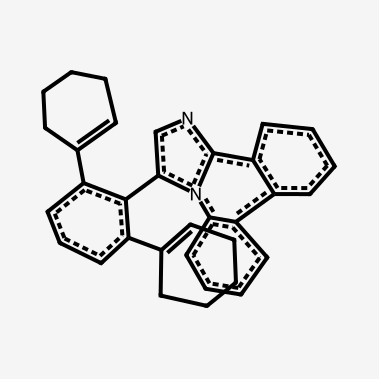 C1=C(c2cccc(C3=CCCCC3)c2-c2cnc3c4ccccc4c4ccccc4n23)CCCC1